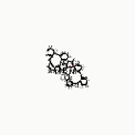 Cc1cc2c3c(c1)N1c4ccccc4Cc4ccccc4Cc4ccc5oc(c1c5c4)B3c1oc3ccc4cc3c1N2c1ccccc1Cc1ccccc1C4